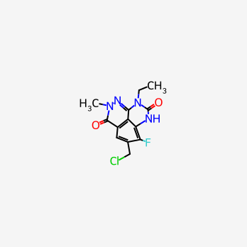 CCN1C(=O)Nc2c(F)c(CCl)cc3c(=O)n(C)nc1c23